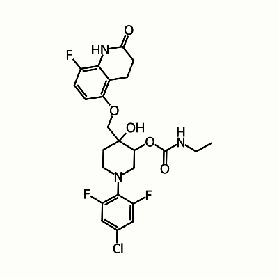 CCNC(=O)OC1CN(c2c(F)cc(Cl)cc2F)CCC1(O)COc1ccc(F)c2c1CCC(=O)N2